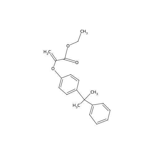 C=C(Oc1ccc(C(C)(C)c2ccccc2)cc1)C(=O)OCC